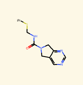 CC(C)SCNC(=O)N1Cc2cncnc2C1